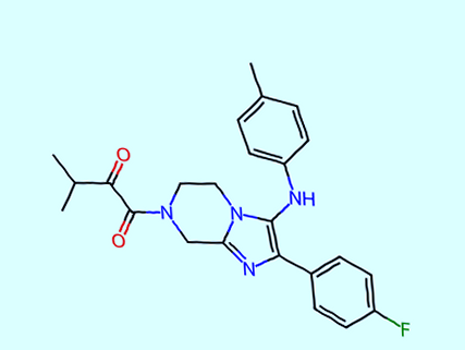 Cc1ccc(Nc2c(-c3ccc(F)cc3)nc3n2CCN(C(=O)C(=O)C(C)C)C3)cc1